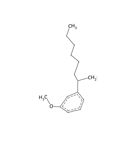 [CH2]C(CCCCCC)c1cccc(OC)c1